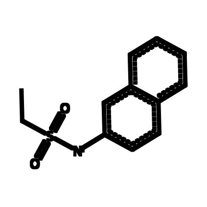 CCS(=O)(=O)[N]c1ccc2ccccc2c1